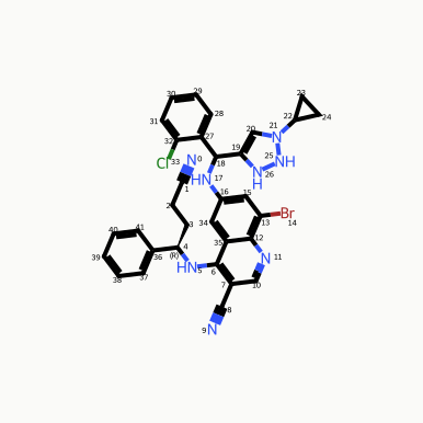 N#CCC[C@@H](Nc1c(C#N)cnc2c(Br)cc(NC(C3=CN(C4CC4)NN3)c3ccccc3Cl)cc12)c1ccccc1